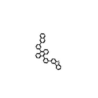 c1cc(-c2ccc3ccccc3c2)cc(-c2c3ccccc3c(-c3cccc(-c4ccc5sc6ccccc6c5c4)c3)c3ccccc23)c1